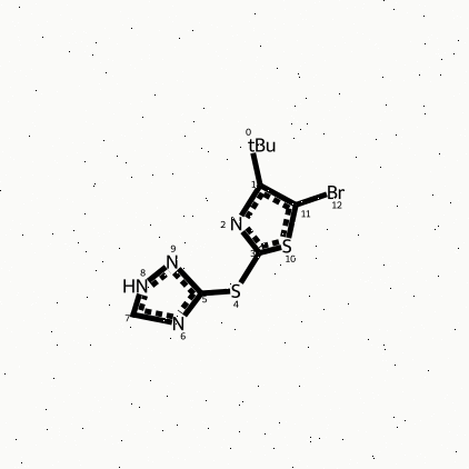 CC(C)(C)c1nc(Sc2nc[nH]n2)sc1Br